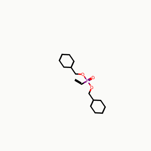 C=CP(=O)(OCC1CCCCC1)OCC1CCCCC1